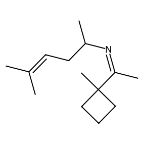 CC(C)=CCC(C)/N=C(/C)C1(C)CCC1